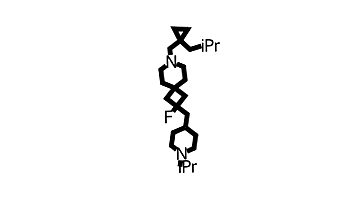 CC(C)CC1(CN2CCC3(CC2)CC(F)(CC2CCN(C(C)C)CC2)C3)CC1